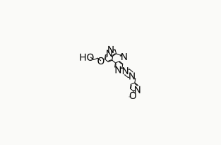 COc1ccc(CN2CCN(c3ccc(-c4cc(OCCO)cn5ncc(C#N)c45)cn3)CC2)cn1